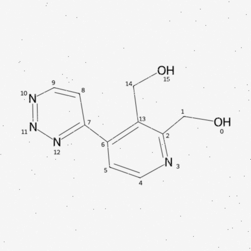 OCc1nccc(-c2ccnnn2)c1CO